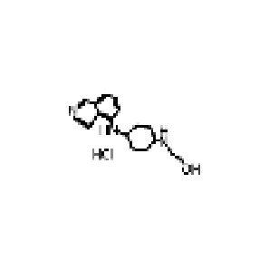 Cl.OCCNC1CCC(Nc2cccc3cnccc23)CC1